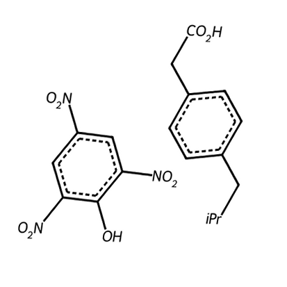 CC(C)Cc1ccc(CC(=O)O)cc1.O=[N+]([O-])c1cc([N+](=O)[O-])c(O)c([N+](=O)[O-])c1